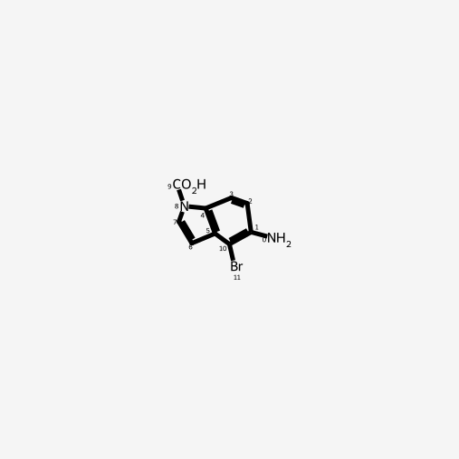 Nc1ccc2c(ccn2C(=O)O)c1Br